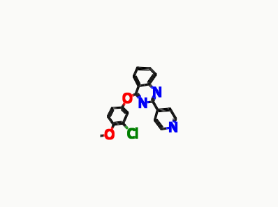 COc1ccc(Oc2nc(-c3ccncc3)nc3ccccc23)cc1Cl